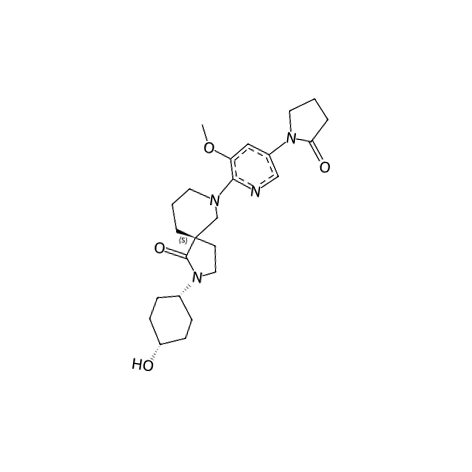 COc1cc(N2CCCC2=O)cnc1N1CCC[C@]2(CCN([C@H]3CC[C@@H](O)CC3)C2=O)C1